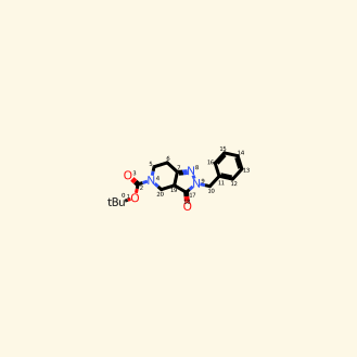 CC(C)(C)OC(=O)N1CCC2=NN(Cc3ccccc3)C(=O)C2C1